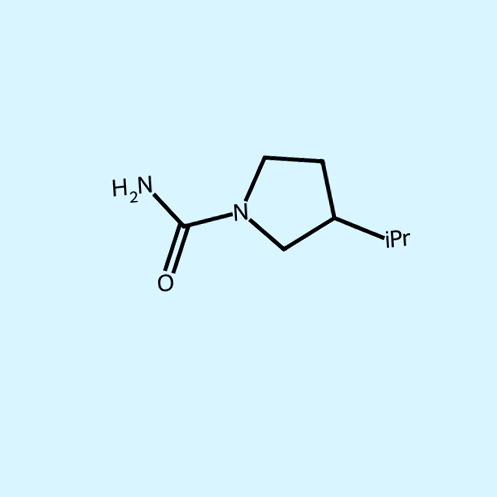 CC(C)C1CCN(C(N)=O)C1